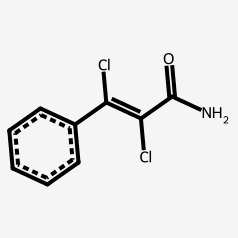 NC(=O)C(Cl)=C(Cl)c1ccccc1